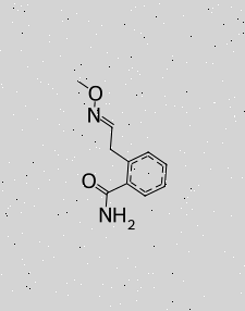 CON=CCc1ccccc1C(N)=O